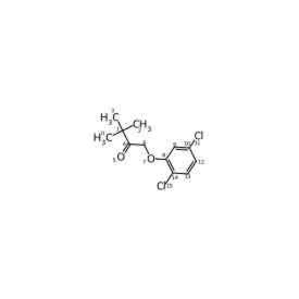 CC(C)(C)C(=O)COc1cc(Cl)ccc1Cl